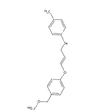 Cc1ccc([Se]CC=COc2ccc(COC(=O)O)cc2)cc1